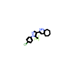 FC(F)(F)c1c(-c2cc3c(nn2)CCCCC3)cnn1-c1ccc(Cl)cc1